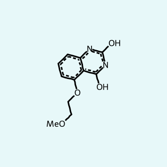 COCCOc1cccc2nc(O)nc(O)c12